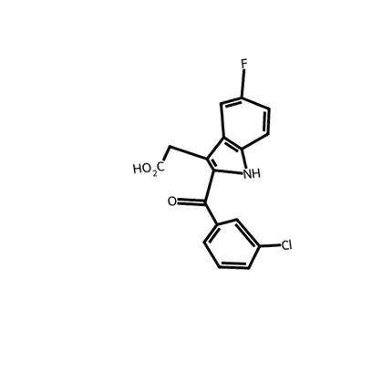 O=C(O)Cc1c(C(=O)c2cccc(Cl)c2)[nH]c2ccc(F)cc12